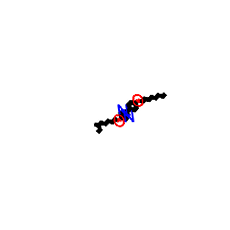 CCCCCCC=COc1ccc(-c2ncc(OCCCCCC(C)CC)cn2)cc1